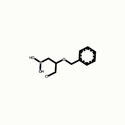 OB(O)CC(CCl)OCc1ccccc1